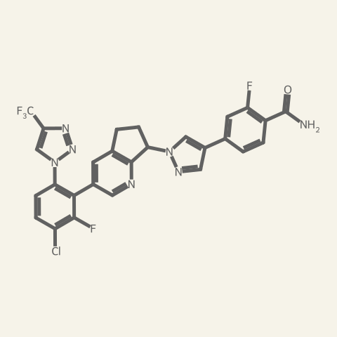 NC(=O)c1ccc(-c2cnn(C3CCc4cc(-c5c(-n6cc(C(F)(F)F)nn6)ccc(Cl)c5F)cnc43)c2)cc1F